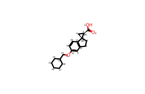 O=C(O)[C@@H]1C[C@]12CCc1cc(OCC3CCCCC3)ccc12